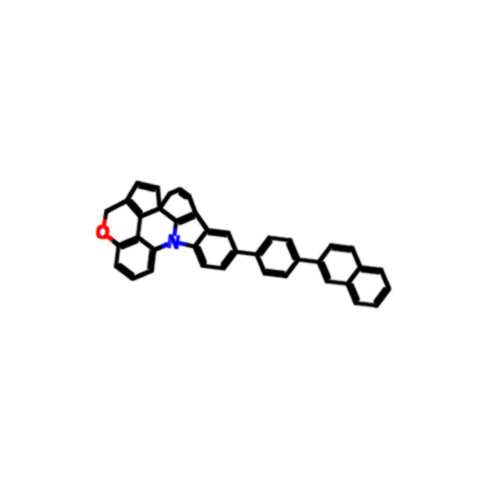 C1=Cc2c3n(c4ccc(-c5ccc(-c6ccc7ccccc7c6)cc5)cc24)-c2cccc4c2C2=C(C=CC23C1)CO4